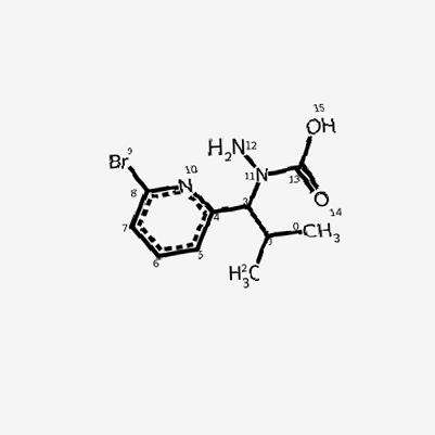 C[C](C)C(c1cccc(Br)n1)N(N)C(=O)O